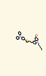 CCCCCCn1c2ccc(C=O)cc2c2cc(C=Cc3ccc(-c4ccc(N(c5ccccc5)c5ccccc5)cc4)s3)ccc21